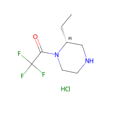 CC[C@@H]1CNCCN1C(=O)C(F)(F)F.Cl